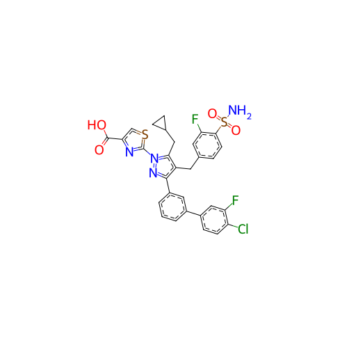 NS(=O)(=O)c1ccc(Cc2c(-c3cccc(-c4ccc(Cl)c(F)c4)c3)nn(-c3nc(C(=O)O)cs3)c2CC2CC2)cc1F